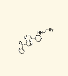 CC(C)CCNc1cccc(-c2ccnc3c(C(=O)c4cccs4)cnn23)c1